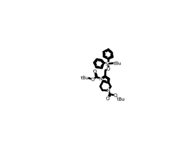 CC(C)(C)OC(=O)N1CCc2c(cc(CO[Si](c3ccccc3)(c3ccccc3)C(C)(C)C)n2C(=O)OC(C)(C)C)C1